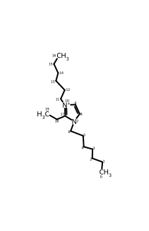 CCCCCCCn1cc[n+](CCCCCC)c1CC